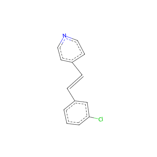 Clc1cccc(C=Cc2ccncc2)c1